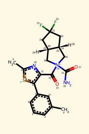 Cc1cccc(-c2sc(C)nc2C(=O)[N+]2(C(N)=O)C[C@H]3CC(F)(F)C[C@H]3C2)c1